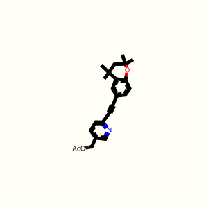 CC(=O)OCc1ccc(C#Cc2ccc3c(c2)C(C)(C)CC(C)(C)O3)nc1